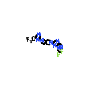 FC(F)Cn1ncc2ncc(N3CCC4(CCN(c5cncc(C(F)(F)F)n5)C4)CC3)nc21